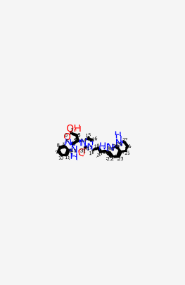 O=C(O)CC(c1nc2ccccc2[nH]1)N1CCN(CCCC2=CC=C3CCCNC3N2)C1=O